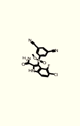 COP(=O)(c1cc(C#N)cc(C#N)c1)c1c(C(N)=O)[nH]c2ccc(Cl)c(F)c12